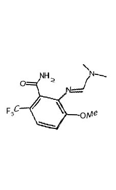 COc1ccc(C(F)(F)F)c(C(N)=O)c1N=CN(C)C